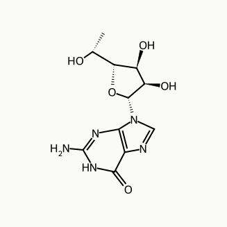 C[C@@H](O)[C@H]1O[C@@H](n2cnc3c(=O)[nH]c(N)nc32)[C@H](O)[C@@H]1O